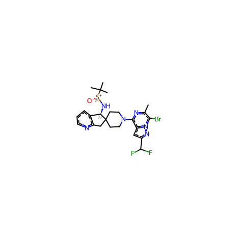 Cc1nc(N2CCC3(CC2)Cc2ncccc2[C@H]3N[S@+]([O-])C(C)(C)C)c2cc(C(F)F)nn2c1Br